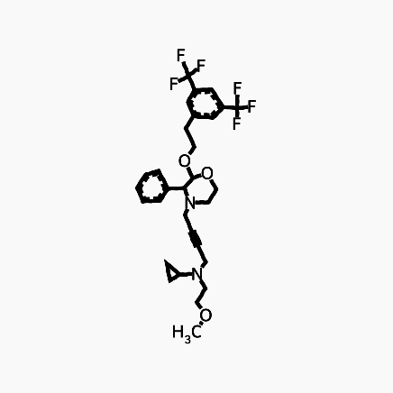 COCCN(CC#CCN1CCOC(OCCc2cc(C(F)(F)F)cc(C(F)(F)F)c2)C1c1ccccc1)C1CC1